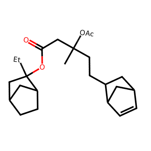 CCC1(OC(=O)CC(C)(CCC2CC3C=CC2C3)OC(C)=O)CC2CCC1C2